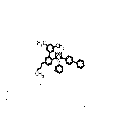 CCCCc1ccc(-c2nnc(-c3ccc(-c4ccccc4)cc3)n2-c2ccccc2)c(-c2cc(C)cc(C)c2)c1